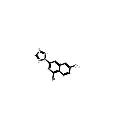 Cc1ccc2c(C(C)(C)C)nc(-n3ncnn3)cc2c1